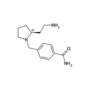 NCC[C@@H]1CCCN1Cc1ccc(C(N)=O)cc1